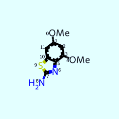 COc1cc(OC)c2nc(N)sc2c1